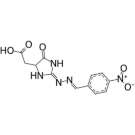 O=C(O)CC1NC(=NN=Cc2ccc([N+](=O)[O-])cc2)NC1=O